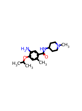 Cc1cc(OC(C)C)c(N)cc1C(=O)NC1CCN(C)CC1